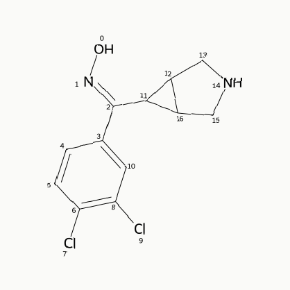 ON=C(c1ccc(Cl)c(Cl)c1)C1C2CNCC21